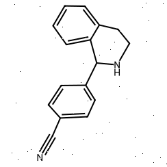 N#Cc1ccc(C2NCCc3ccccc32)cc1